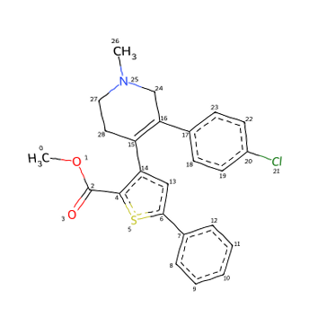 COC(=O)c1sc(-c2ccccc2)cc1C1=C(c2ccc(Cl)cc2)CN(C)CC1